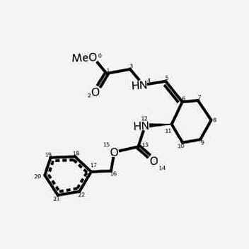 COC(=O)CN/C=C1/CCCC[C@H]1NC(=O)OCc1ccccc1